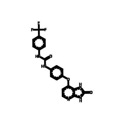 O=C(Nc1ccc(Oc2ccnc3[nH]c(=O)[nH]c23)cc1)Nc1ccc(C(F)(F)F)cc1